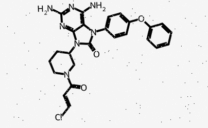 Nc1nc(N)c2c(n1)n(C1CCCN(C(=O)C=CCl)C1)c(=O)n2-c1ccc(Oc2ccccc2)cc1